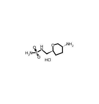 Cl.N[C@@H]1CC[C@@H](CNS(N)(=O)=O)OC1